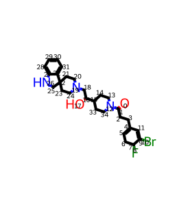 O=C(CCC1=CCC(F)C(Br)=C1)N1CCC(C(O)CN2CCC3(CC2)CNc2ccccc23)CC1